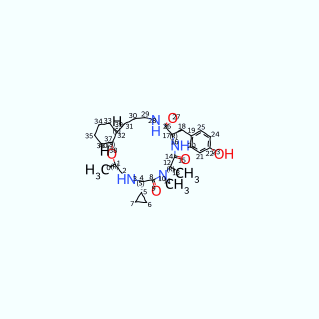 C[C@@H]1CN[C@@H](C2CC2)C(=O)N(C)[C@H](C)C(=O)N[C@H](Cc2ccc(O)cc2)C(=O)NCCC[C@@H]2CCCC[C@@H]2O1